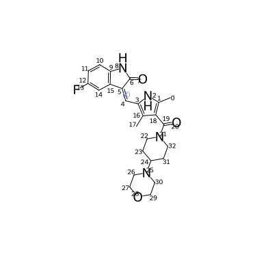 Cc1[nH]c(/C=C2\C(=O)Nc3ccc(F)cc32)c(C)c1C(=O)N1CCC(N2CCOCC2)CC1